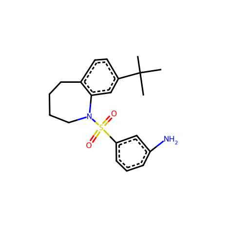 CC(C)(C)c1ccc2c(c1)N(S(=O)(=O)c1cccc(N)c1)CCCC2